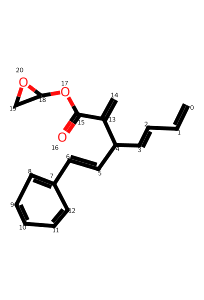 C=CC=CC(C=Cc1ccccc1)C(=C)C(=O)OC1CO1